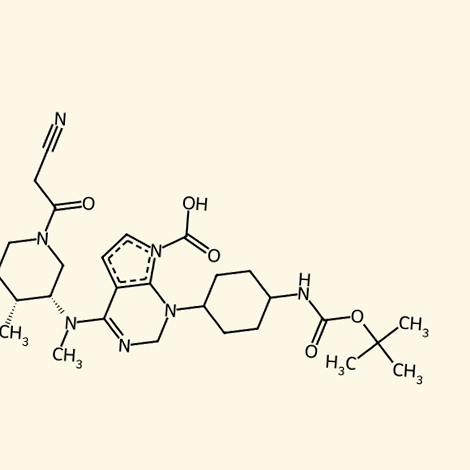 C[C@@H]1CCN(C(=O)CC#N)C[C@@H]1N(C)C1=NCN(C2CCC(NC(=O)OC(C)(C)C)CC2)c2c1ccn2C(=O)O